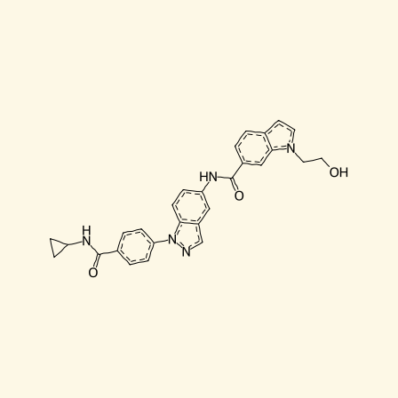 O=C(Nc1ccc2c(cnn2-c2ccc(C(=O)NC3CC3)cc2)c1)c1ccc2ccn(CCO)c2c1